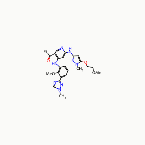 CCC(=O)c1cnc(Nc2cc(OCCOC)n(C)n2)cc1Nc1cccc(-c2ncn(C)n2)c1OC